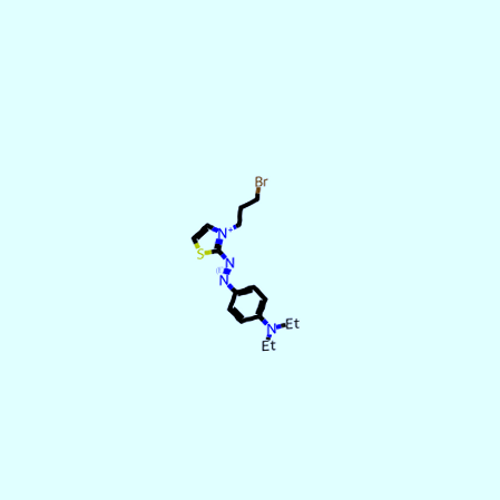 CCN(CC)c1ccc(/N=N/c2scc[n+]2CCCBr)cc1